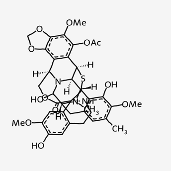 COc1cc2c(cc1O)CCN[C@]21CS[C@@H]2c3c(OC(C)=O)c(OC)c4c(c3[C@H](COC1=O)N1C(O)[C@H]3Cc5cc(C)c(OC)c(O)c5[C@@H]([C@H]21)N3C)OCO4